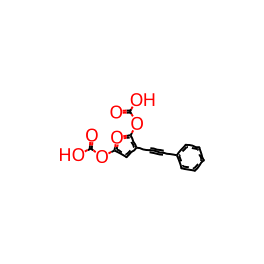 O=C(O)Oc1cc(C#Cc2ccccc2)c(OC(=O)O)o1